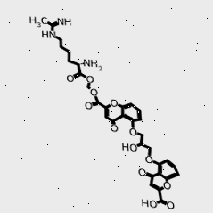 CC(=N)NCCCC[C@H](N)C(=O)OCOC(=O)c1cc(=O)c2c(OCC(O)COc3cccc4oc(C(=O)O)cc(=O)c34)cccc2o1